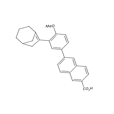 COc1ccc(-c2ccc3cc(C(=O)O)ccc3c2)cc1C1=C2CCCC(C2)C1